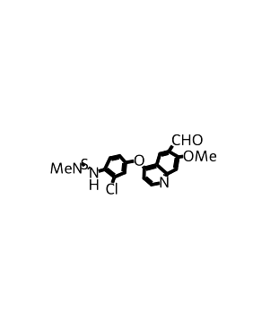 CNSNc1ccc(Oc2ccnc3cc(OC)c(C=O)cc23)cc1Cl